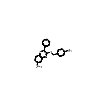 COc1ccc2nc(-c3ccccc3)c(OCc3ccc(C(C)(C)C)cc3)nc2c1